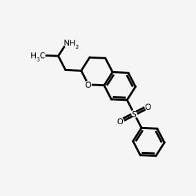 CC(N)CC1CCc2ccc(S(=O)(=O)c3ccccc3)cc2O1